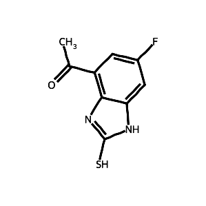 CC(=O)c1cc(F)cc2[nH]c(S)nc12